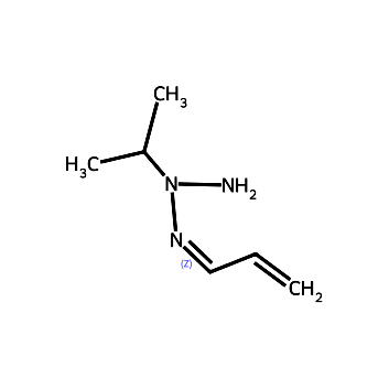 C=C/C=N\N(N)C(C)C